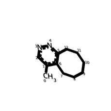 Cc1cnnc2c1CCCCCC2